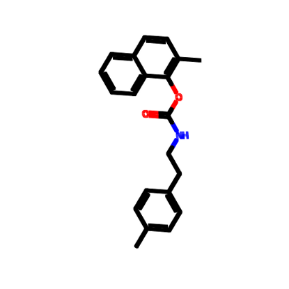 Cc1ccc(CCNC(=O)Oc2c(C)ccc3ccccc23)cc1